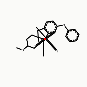 COC1CCC2(CC1)Cc1ccc(Oc3ccccc3)cc1C21NC(=S)N(C)C1=O